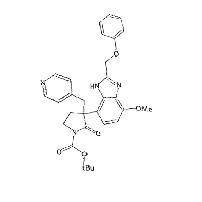 COc1ccc(C2(Cc3ccncc3)CCN(C(=O)OC(C)(C)C)C2=O)c2[nH]c(COc3ccccc3)nc12